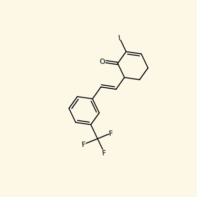 O=C1C(I)=CCCC1/C=C/c1cccc(C(F)(F)F)c1